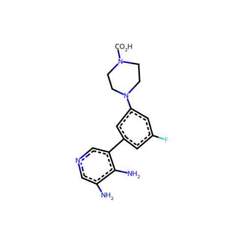 Nc1cncc(-c2cc(F)cc(N3CCN(C(=O)O)CC3)c2)c1N